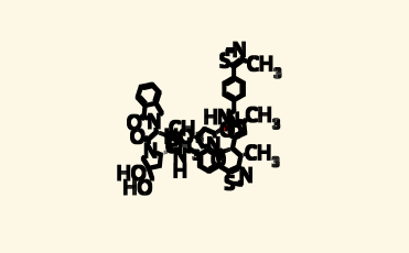 Cc1cc([C@H](C(=O)N2C[C@H](O)C[C@H]2C(=O)NCc2ccc(-c3scnc3C)cc2)[C@H](C)c2ncsc2-c2ccc(CNC(=O)[C@@H]3C[C@@](O)(CO)CN3C(=O)[C@H](C(C)C)N3Cc4ccccc4C3=O)cc2)on1